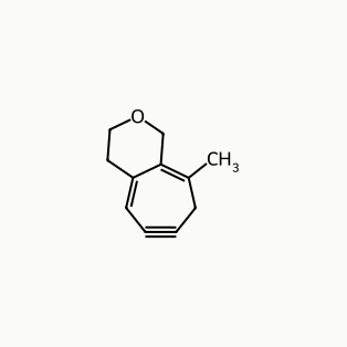 CC1=C2COCCC2=CC#CC1